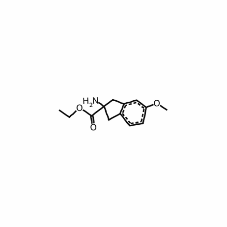 CCOC(=O)C1(N)Cc2ccc(OC)cc2C1